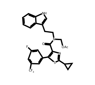 CC(=O)OCN(CCc1c[nH]c2ccccc12)C(=O)c1nc(C2CC2)sc1-c1cc(F)cc(C(F)(F)F)c1